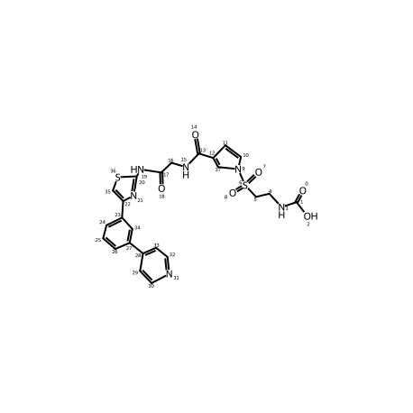 O=C(O)NCCS(=O)(=O)n1ccc(C(=O)NCC(=O)Nc2nc(-c3cccc(-c4ccncc4)c3)cs2)c1